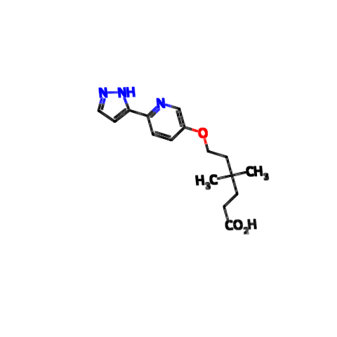 CC(C)(CCOc1ccc(-c2ccn[nH]2)nc1)CCC(=O)O